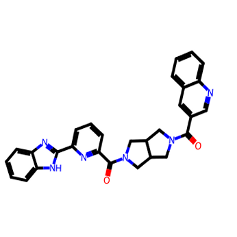 O=C(c1cnc2ccccc2c1)N1CC2CN(C(=O)c3cccc(-c4nc5ccccc5[nH]4)n3)CC2C1